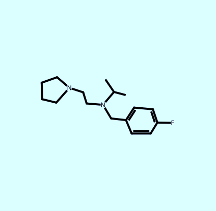 CC(C)N(CCN1CCCC1)Cc1ccc(F)cc1